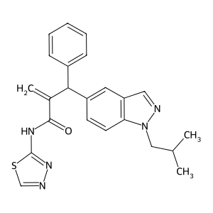 C=C(C(=O)Nc1nncs1)C(c1ccccc1)c1ccc2c(cnn2CC(C)C)c1